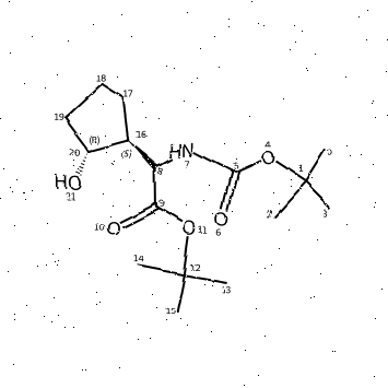 CC(C)(C)OC(=O)NC(C(=O)OC(C)(C)C)[C@@H]1CCC[C@H]1O